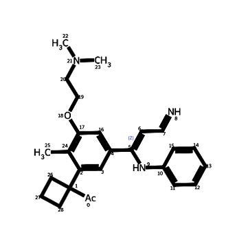 CC(=O)C1(c2cc(/C(=C/C=N)Nc3ccccc3)cc(OCCN(C)C)c2C)CCC1